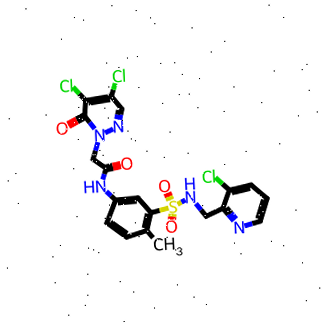 Cc1ccc(NC(=O)Cn2ncc(Cl)c(Cl)c2=O)cc1S(=O)(=O)NCc1ncccc1Cl